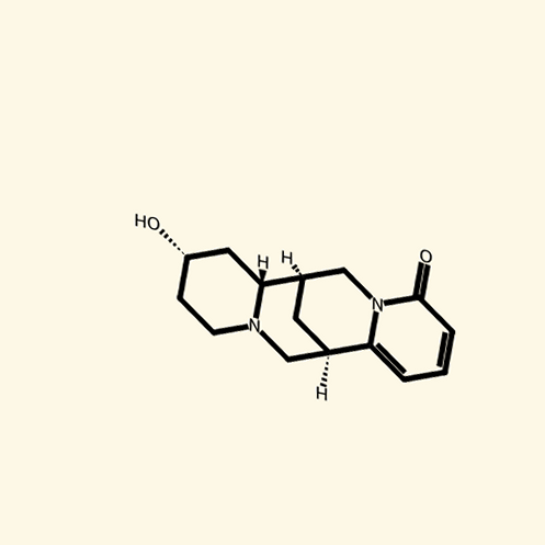 O=c1cccc2n1C[C@H]1C[C@@H]2CN2CC[C@H](O)C[C@H]12